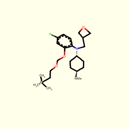 CN[C@H]1CC[C@H](N(CC2COC2)c2ccc(F)cc2OCOCC[Si](C)(C)C)CC1